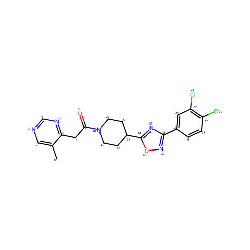 Cc1cncnc1CC(=O)N1CCC(c2nc(-c3ccc(Cl)c(Cl)c3)no2)CC1